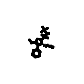 COC1=C(c2ccccc2)C=[C]([Ti+2]([CH3])([CH3])[NH]C(C)(C)C)C1.[Cl-].[Cl-].[SiH4]